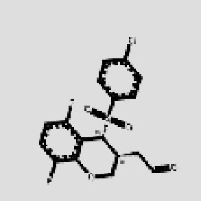 O=CC[C@H]1COc2c(F)ccc(F)c2[C@@H]1S(=O)(=O)c1ccc(Cl)cc1